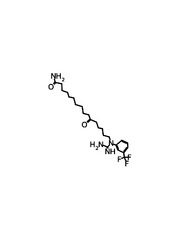 N=C(N)N(CCCCCC(=O)CCCCCCCCCC(N)=O)c1cccc(C(F)(F)F)c1